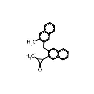 Cc1cc2ccccc2cc1Cc1cc2ccccc2cc1C1C(=O)C1C